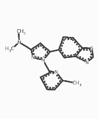 Cc1cccc(-n2nc(N(C)C)cc2-c2ccc3scnc3c2)n1